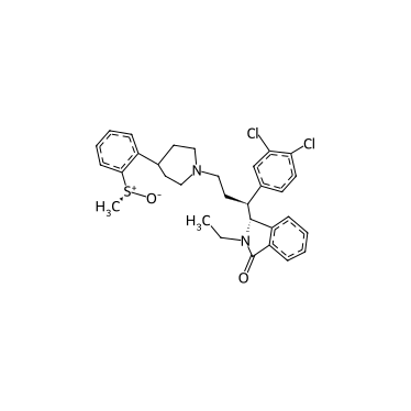 CCN1C(=O)c2ccccc2[C@H]1[C@@H](CCN1CCC(c2ccccc2[S@+](C)[O-])CC1)c1ccc(Cl)c(Cl)c1